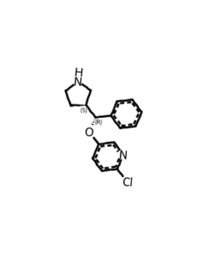 Clc1ccc(O[C@@H](c2ccccc2)[C@H]2CCNC2)cn1